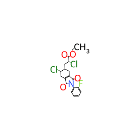 CCOC(=O)C(Cl)CC1CC2=C(CC1Cl)C(=O)N(c1ccccc1F)C2=O